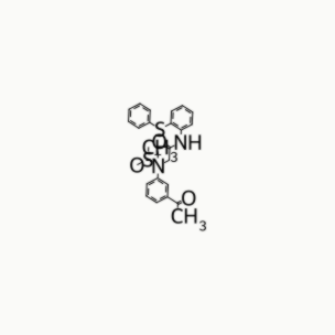 CC(=O)c1cccc(N(CC(=O)Nc2ccccc2Sc2ccccc2)[S+](C)[O-])c1